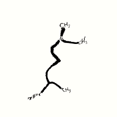 CCCC(C)CCCN(C)C